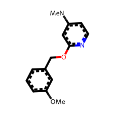 CNc1ccnc(OCc2cccc(OC)c2)c1